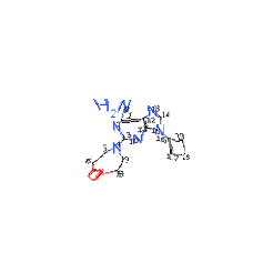 Nc1nc(N2CCOCC2)nc2c1ncn2C1CCC1